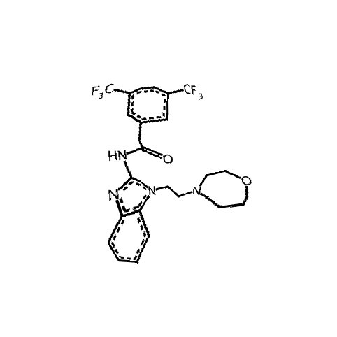 O=C(Nc1nc2ccccc2n1CCN1CCOCC1)c1cc(C(F)(F)F)cc(C(F)(F)F)c1